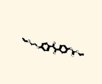 C=COC(=O)Oc1ccc(C(=O)C(=O)c2ccc(OCCOCC)cc2)cc1